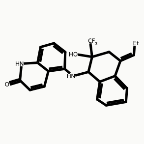 CCC=C1CC(O)(C(F)(F)F)C(Nc2cccc3[nH]c(=O)ccc23)c2ccccc21